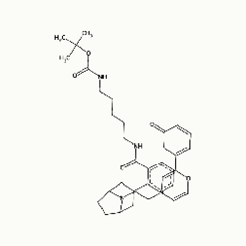 CC(C)(C)OC(=O)NCCCCCNC(=O)c1ccccc1C1CC2CCC(C1)N2CCN1C=COC(C2=CC=CC(=O)C2)=C1